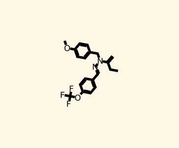 C=C(CC)N(Cc1ccc(OC)cc1)/N=C/c1ccc(OC(F)(F)F)cc1